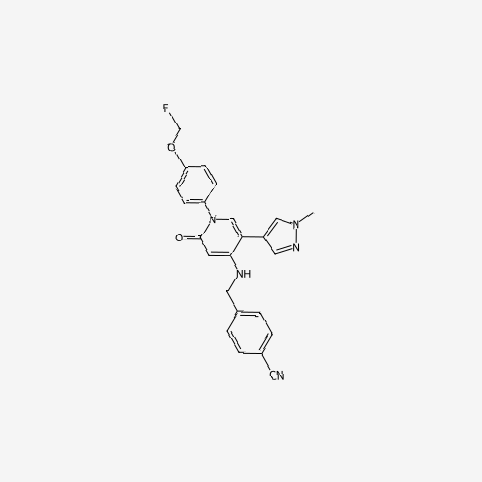 Cn1cc(-c2cn(-c3ccc(OCF)cc3)c(=O)cc2NCc2ccc(C#N)cc2)cn1